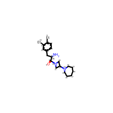 CCc1ccc(C[C@@H](N)C(=O)N2CC(N3CCCCCC3)C2)cc1CC